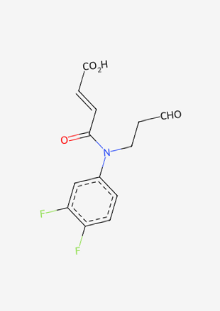 O=CCCN(C(=O)/C=C/C(=O)O)c1ccc(F)c(F)c1